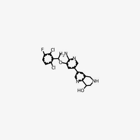 CC(Oc1cc(-c2cnc3c(c2)CNCC3O)cnc1N)c1c(Cl)ccc(F)c1Cl